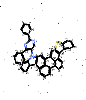 c1ccc(-c2ncc(-n3c4ccccc4c4c5cccc6c7cccc8c9c(cc(c(cc43)c65)c78)sc3ccccc39)c(-c3ccccc3)n2)cc1